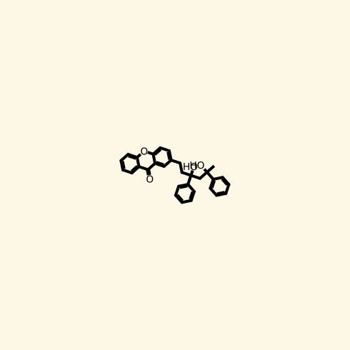 CC(O)(CC(O)(CCc1ccc2oc3ccccc3c(=O)c2c1)c1ccccc1)c1ccccc1